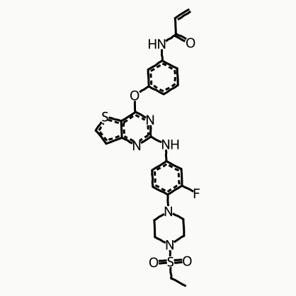 C=CC(=O)Nc1cccc(Oc2nc(Nc3ccc(N4CCN(S(=O)(=O)CC)CC4)c(F)c3)nc3ccsc23)c1